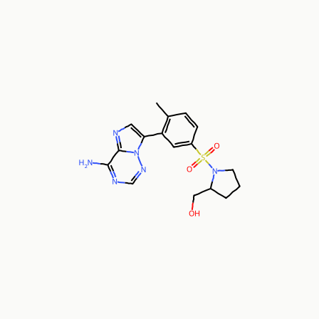 Cc1ccc(S(=O)(=O)N2CCCC2CO)cc1-c1cnc2c(N)ncnn12